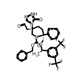 C[C@@H](OC[C@@]1(c2ccccc2)CC[C@@](CC=O)(n2cn[nH]c2=O)CN1C(=O)OCc1ccccc1)c1cc(C(F)(F)F)cc(C(F)(F)F)c1